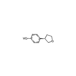 Oc1ccc([C@H]2CCOC2)cc1